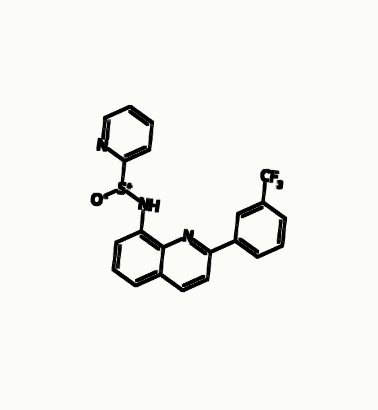 [O-][S+](Nc1cccc2ccc(-c3cccc(C(F)(F)F)c3)nc12)c1ccccn1